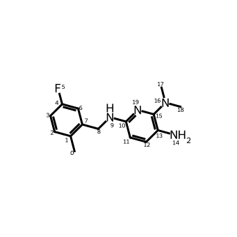 Cc1ccc(F)cc1CNc1ccc(N)c(N(C)C)n1